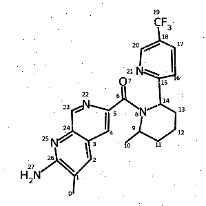 Cc1cc2cc(C(=O)N3C(C)CCCC3c3ccc(C(F)(F)F)cn3)ncc2nc1N